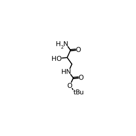 CC(C)(C)OC(=O)NCC(O)C(N)=O